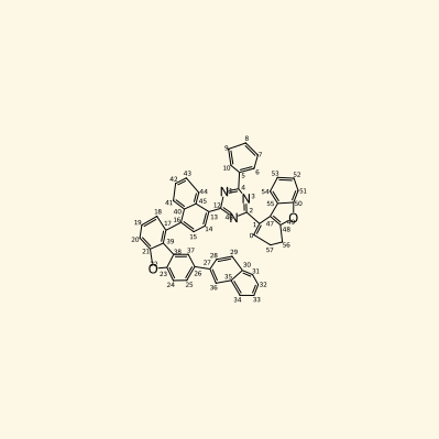 C1=C(c2nc(-c3ccccc3)nc(-c3ccc(-c4cccc5oc6ccc(-c7ccc8ccccc8c7)cc6c45)c4ccccc34)n2)c2c(oc3ccccc23)CC1